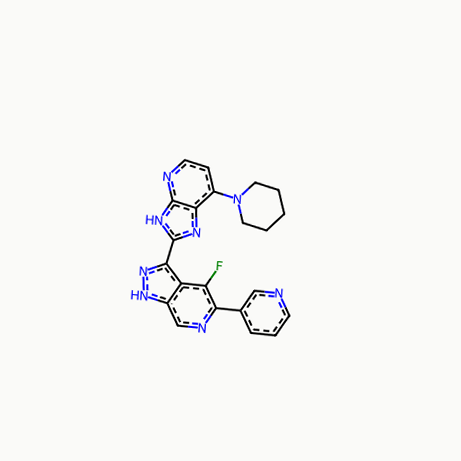 Fc1c(-c2cccnc2)ncc2[nH]nc(-c3nc4c(N5CCCCC5)ccnc4[nH]3)c12